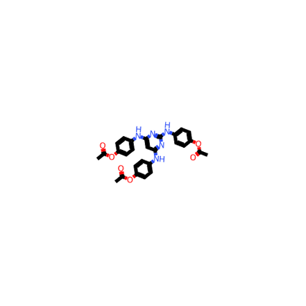 CC(=O)Oc1ccc(Nc2cc(Nc3ccc(OC(C)=O)cc3)nc(Nc3ccc(OC(C)=O)cc3)n2)cc1